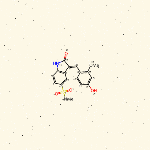 CNS(=O)(=O)c1ccc2c(c1)C(=Cc1ccc(O)cc1OC)C(=O)N2